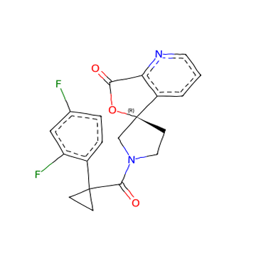 O=C1O[C@]2(CCN(C(=O)C3(c4ccc(F)cc4F)CC3)C2)c2cccnc21